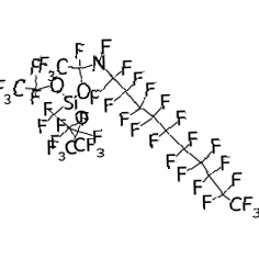 FN(C(F)(F)C(F)(F)C(F)(F)C(F)(F)C(F)(F)C(F)(F)C(F)(F)C(F)(F)C(F)(F)C(F)(F)F)C(F)(O[Si](OC(F)(F)C(F)(F)F)(OC(F)(F)C(F)(F)F)C(F)(F)C(F)(F)C(F)(F)F)C(F)(F)F